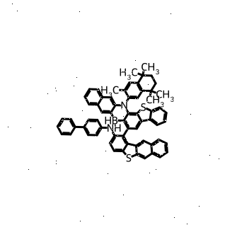 Cc1cc2c(cc1N1c3cc4ccccc4cc3Bc3c(-c4c(Nc5ccc(-c6ccccc6)cc5)ccc5sc6cc7ccccc7cc6c45)cc4c(sc5ccccc54)c31)C(C)(C)CCC2(C)C